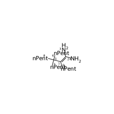 CCCCCC(=C(N)N)C(CCCCC)(CCCCC)CCCCC